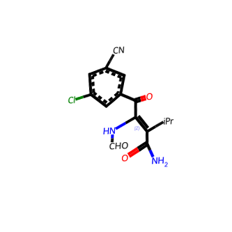 CC(C)/C(C(N)=O)=C(/NC=O)C(=O)c1cc(Cl)cc(C#N)c1